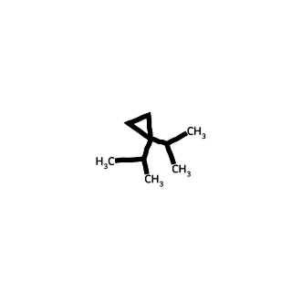 CC(C)C1(C(C)C)CC1